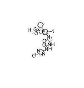 CP(C)(=O)c1ccccc1-c1ccc(N2CCC(NC(=O)Nc3cnc(Cl)cn3)C2=O)c(C2CC2)c1